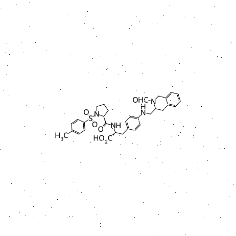 Cc1ccc(S(=O)(=O)N2CCC[C@H]2C(=O)N[C@@H](Cc2ccc(NCC3Cc4ccccc4CN3C=O)cc2)C(=O)O)cc1